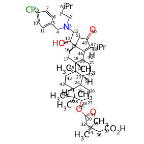 CC(C)CCN(Cc1ccc(Cl)cc1)C[C@H](O)[C@@]12CC[C@]3(C)[C@H](CC[C@@H]4[C@@]5(C)CCC(OC(=O)CC(C)(C)CC(=O)O)C(C)(C)[C@@H]5CC[C@]43C)C1=C(C(C)C)C(=O)C2